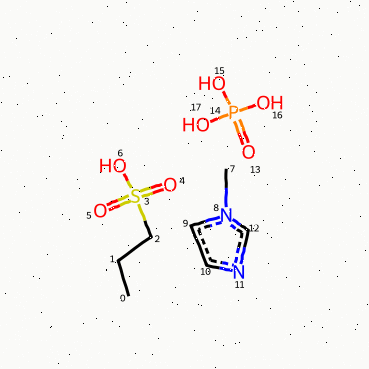 CCCS(=O)(=O)O.Cn1ccnc1.O=P(O)(O)O